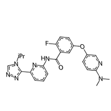 CC(C)n1cnnc1-c1cccc(NC(=O)c2cc(Oc3ccc(N(C)C)nc3)ccc2F)n1